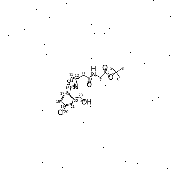 CC(C)(C)OC(=O)CNC(=O)Cc1csc(-c2ccc(Cl)cc2CO)n1